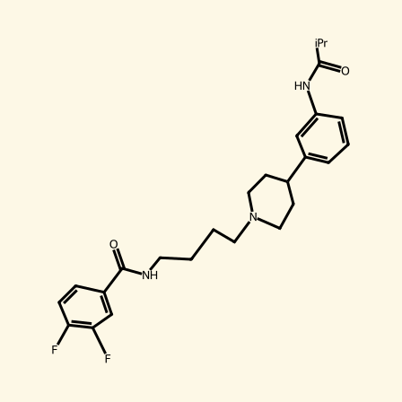 CC(C)C(=O)Nc1cccc(C2CCN(CCCCNC(=O)c3ccc(F)c(F)c3)CC2)c1